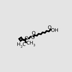 C=C(C)C(OCCOC(=O)CCCCCCCC(=O)O)=C1CCC1